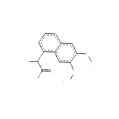 COc1cc2cccc(C(C)C(=O)O)c2cc1OC